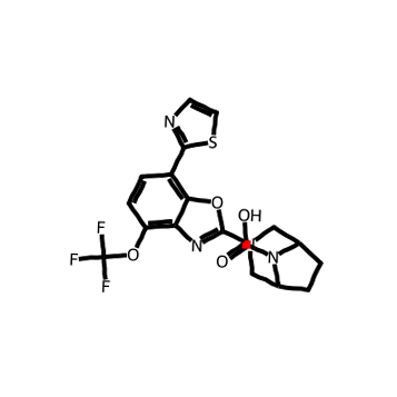 O=C(O)N1C2CCC1CN(c1nc3c(OC(F)(F)F)ccc(-c4nccs4)c3o1)C2